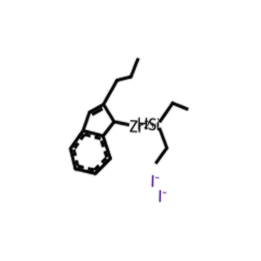 CCCC1=Cc2ccccc2[CH]1[Zr+2][SiH](CC)CC.[I-].[I-]